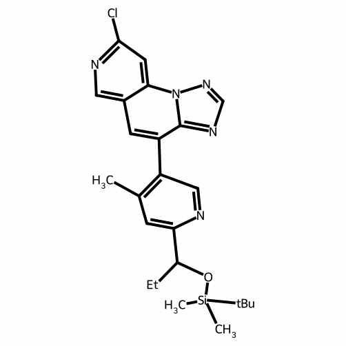 CCC(O[Si](C)(C)C(C)(C)C)c1cc(C)c(-c2cc3cnc(Cl)cc3n3ncnc23)cn1